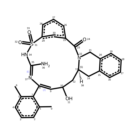 Cc1cccc(C)c1C1=C/C(O)C[C@@H]2Cc3ccccc3CN2C(=O)c2cccc(c2)S(=O)(=O)N\C(N)=N\1